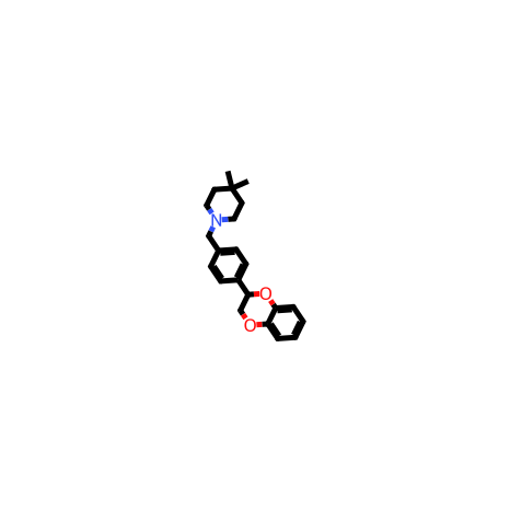 CC1(C)CCN(Cc2ccc(C3COc4ccccc4O3)cc2)CC1